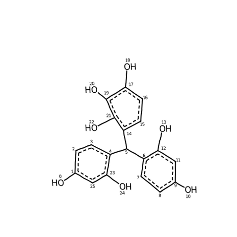 Oc1ccc(C(c2ccc(O)cc2O)c2ccc(O)c(O)c2O)c(O)c1